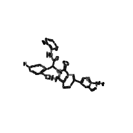 O=C(Nc1nccs1)C(c1cc(F)ccc1O)N1Cc2ccc(-c3cnc4[nH]ccc4c3)cc2C1=O